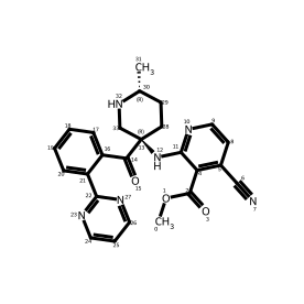 COC(=O)c1c(C#N)ccnc1N[C@]1(C(=O)c2ccccc2-c2ncccn2)CC[C@@H](C)NC1